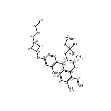 COCC(C)(F)CN1[C@H](c2ccc(OC3CN(CCCF)C3)cc2OC)c2ccc(N)c(C=N)c2C[C@H]1C